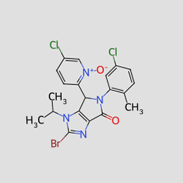 Cc1ccc(Cl)cc1N1C(=O)c2nc(Br)n(C(C)C)c2C1c1ccc(Cl)c[n+]1[O-]